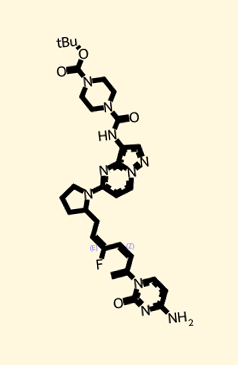 C=C(/C=C\C(F)=C/CC1CCCN1c1ccn2ncc(NC(=O)N3CCN(C(=O)OC(C)(C)C)CC3)c2n1)n1ccc(N)nc1=O